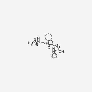 CS(=O)(=O)NCCCn1c2c(cc(C(=O)N[C@@H](C(=O)O)c3ccccc3)c1=O)CCCCCC2